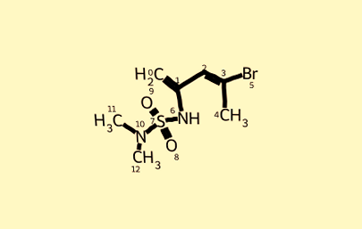 C=C(/C=C(\C)Br)NS(=O)(=O)N(C)C